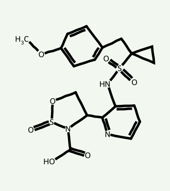 COc1ccc(CC2(S(=O)(=O)Nc3cccnc3C3COS(=O)N3C(=O)O)CC2)cc1